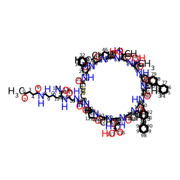 CC(=O)CCC(=O)NCCCC[C@H](NC(=O)CNC(=O)[C@@H]1CSCC(=O)N[C@@H](Cc2ccccc2)C(=O)N[C@@H](C(C)C)C(=O)N2CCC[C@H]2C(=O)N[C@@H]([C@@H](C)O)C(=O)N[C@@H]([C@@H](C)O)C(=O)N[C@@H](Cc2ccc(-c3ccccc3)cc2)C(=O)N(C)[C@@H](C)C(=O)N[C@@H](Cc2ccc(-c3ccccc3)cc2)C(=O)N(C)[C@@H](C)C(=O)N[C@@H](CCC(=O)O)C(=O)N[C@@H](C)C(=O)N2CCC[C@H]2C(=O)N1)C(N)=O